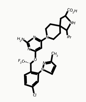 Cc1ccn(-c2cc(Cl)ccc2[C@@H](Oc2cc(N3CCC4(CC3)CC(C(=O)O)NC4C(C)C)nc(N)n2)C(F)(F)F)n1